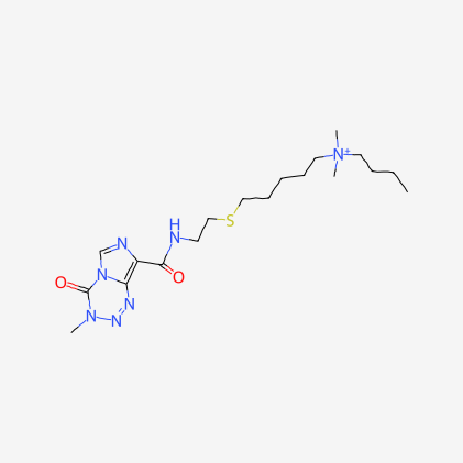 CCCC[N+](C)(C)CCCCCSCCNC(=O)c1ncn2c(=O)n(C)nnc12